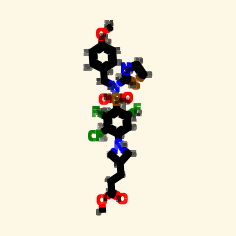 COC(=O)CCC1CN(c2cc(F)c(S(=O)(=O)N(Cc3ccc(OC)cc3)c3nccs3)c(F)c2Cl)C1